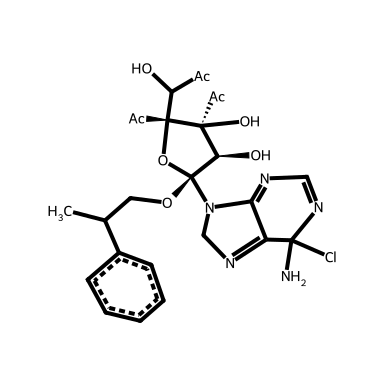 CC(=O)C(O)[C@@]1(C(C)=O)O[C@@](OCC(C)c2ccccc2)(N2CN=C3C2=NC=NC3(N)Cl)[C@H](O)[C@@]1(O)C(C)=O